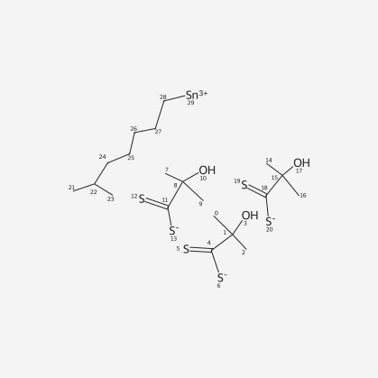 CC(C)(O)C(=S)[S-].CC(C)(O)C(=S)[S-].CC(C)(O)C(=S)[S-].CC(C)CCCC[CH2][Sn+3]